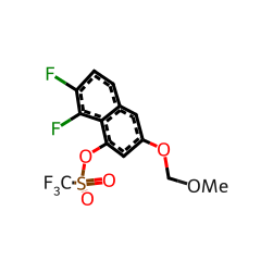 COCOc1cc(OS(=O)(=O)C(F)(F)F)c2c(F)c(F)ccc2c1